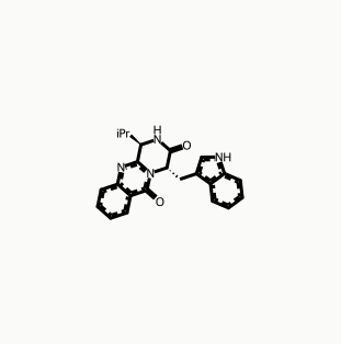 CC(C)[C@H]1NC(=O)[C@H](Cc2c[nH]c3ccccc23)n2c1nc1ccccc1c2=O